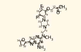 CN(CCN1CCN(c2cc(OCC[S+](C)[O-])c(F)cc2F)CC1)c1nc(N)n2nc(-c3ccco3)cc2n1